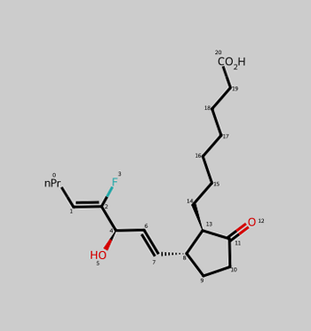 CCC/C=C(\F)[C@H](O)/C=C/[C@H]1CCC(=O)[C@@H]1CCCCCCC(=O)O